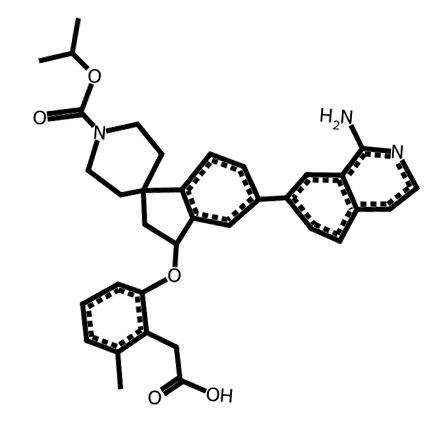 Cc1cccc(OC2CC3(CCN(C(=O)OC(C)C)CC3)c3ccc(-c4ccc5ccnc(N)c5c4)cc32)c1CC(=O)O